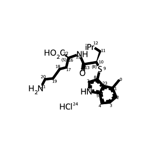 Cc1cccc2[nH]cc(S[C@H](CC(C)C)C(=O)N[C@@H](CCCCN)C(=O)O)c12.Cl